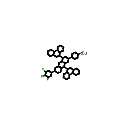 CC(C)(C)c1ccc(-c2cc(-c3cc4ccccc4c4ccccc34)c3cc4cc(-c5cc(F)c(F)c(F)c5)ccc4c(-c4cc5ccccc5c5ccccc45)c3c2)cc1